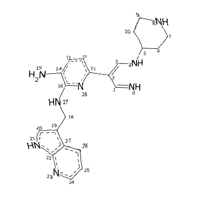 N=C/C(=C\NC1CCNCC1)c1ccc(N)c(NCc2c[nH]c3ncccc23)n1